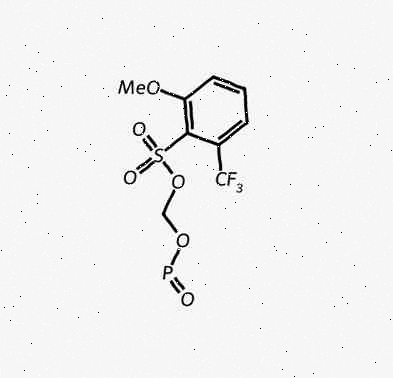 COc1cccc(C(F)(F)F)c1S(=O)(=O)OCOP=O